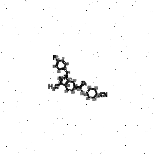 Cc1nn(Cc2ccc(F)cc2)c2c1CCN(C(=O)C[C@H]1CC[C@@H](C#N)CC1)C2